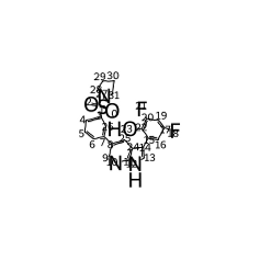 O=S(=O)(c1cccc(-c2cnc3[nH]cc(-c4cc(F)cc(F)c4O)c3c2)c1)N1CCCC1